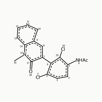 CC(=O)Nc1ccc(Cl)c(-c2cc3cnccc3n(C)c2=O)c1Cl